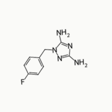 Nc1nc(N)n(Cc2ccc(F)cc2)n1